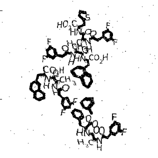 C[C@H](NC(=O)Cc1cc(F)cc(F)c1)C(=O)N[C@@H](Cc1ccc2ccccc2c1)C(=O)O.C[C@H](NC(=O)Cc1cc(F)cc(F)c1)C(=O)N[C@@H](Cc1cccc2ccccc12)C(=O)O.C[C@H](NC(=O)Cc1cc(F)cc(F)c1)C(=O)N[C@@H](Cc1ccccc1)C(=O)OCc1ccccc1.C[C@H](NC(=O)Cc1cc(F)cc(F)c1)C(=O)N[C@@H](Cc1cccs1)C(=O)O